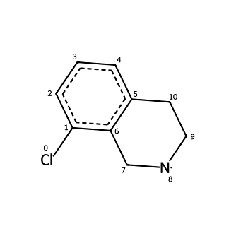 Clc1cccc2c1C[N]CC2